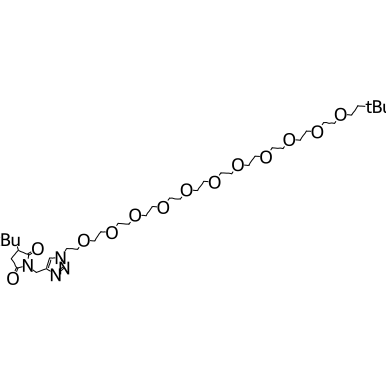 CC(C)(C)CCOCCOCCOCCOCCOCCOCCOCCOCCOCCOCCOCCn1cc(CN2C(=O)CC(C(C)(C)C)C2=O)nn1